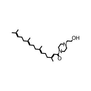 CC(C)=CCC/C(C)=C/CC/C(C)=C/CC/C(C)=C/C(=O)N1CCN(CCO)CC1